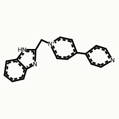 c1ccc2[nH]c(C[n+]3ccc(-c4ccncc4)cc3)nc2c1